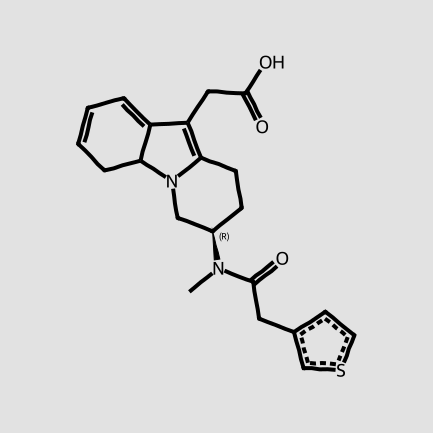 CN(C(=O)Cc1ccsc1)[C@@H]1CCC2=C(CC(=O)O)C3=CC=CCC3N2C1